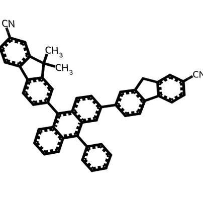 CC1(C)c2cc(C#N)ccc2-c2ccc(-c3c4ccccc4c(-c4ccccc4)c4cc(-c5ccc6c(c5)Cc5cc(C#N)ccc5-6)ccc34)cc21